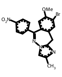 COc1cc2c(cc1Br)Cc1nc(C)cn1N=C2c1ccc([N+](=O)[O-])cc1